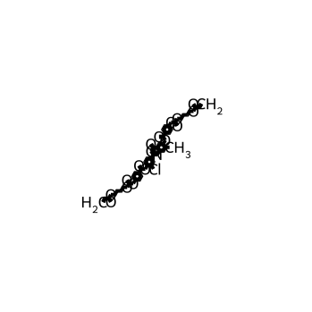 C=CC(=O)OCCCCOC(=O)Oc1ccc(C(=O)Oc2cc3c(=O)oc(-c4ccc(OC(=O)c5ccc(OC(=O)OCCCCOC(=O)C=C)cc5)c(Cl)c4)nc3cc2C)cc1